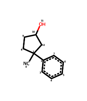 N#CC1(c2ccccc2)CCC(O)C1